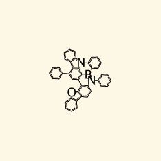 c1ccc(-c2cc3c4c5c2c2ccccc2n5-c2ccccc2B4N(c2ccccc2)c2ccc4c(oc5ccccc54)c2-3)cc1